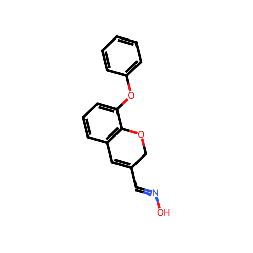 O/N=C/C1=Cc2cccc(Oc3ccccc3)c2OC1